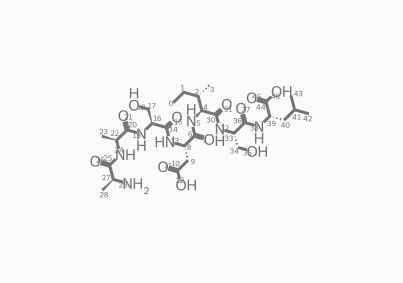 CC[C@H](C)[C@H](NC(=O)[C@H](CC(=O)O)NC(=O)[C@H](CO)NC(=O)[C@H](C)NC(=O)[C@H](C)N)C(=O)N[C@@H](CO)C(=O)N[C@@H](CC(C)C)C(=O)O